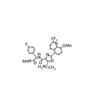 CNC(=O)[C@@H](NC(=O)c1nc(-c2ccc(OC)c3nc(C(F)(F)F)ccc23)oc1[C@H](C)N)c1ccc(F)cc1